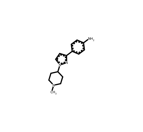 CN1CCC(n2ccc(-c3ccc(N)cc3)n2)CC1